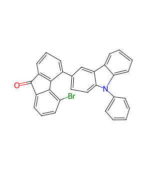 O=C1c2cccc(Br)c2-c2c1cccc2-c1ccc2c(c1)c1ccccc1n2-c1ccccc1